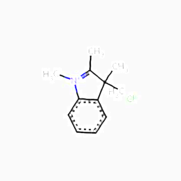 CC1=[N+](C)c2ccccc2C1(C)C.[Cl-]